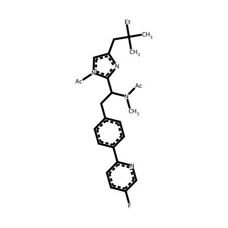 CCC(C)(C)Cc1cn(C(C)=O)c(C(Cc2ccc(-c3ccc(F)cn3)cc2)N(C)C(C)=O)n1